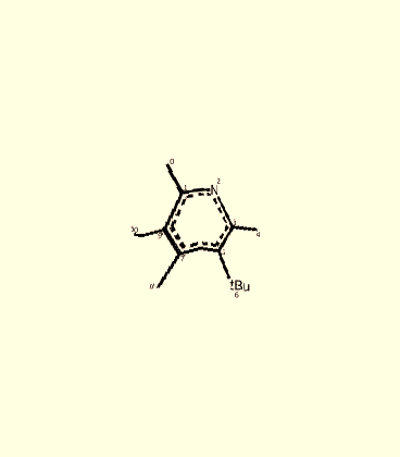 Cc1nc(C)c(C(C)(C)C)c(C)c1C